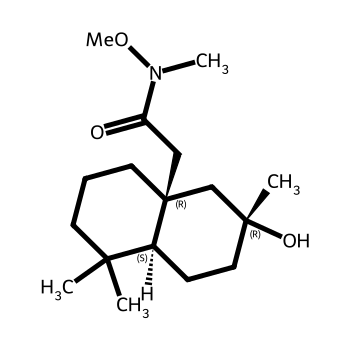 CON(C)C(=O)C[C@]12CCCC(C)(C)[C@@H]1CC[C@@](C)(O)C2